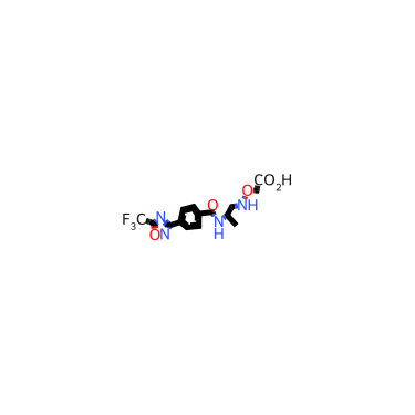 CC(CNOCC(=O)O)NC(=O)c1ccc(-c2noc(C(F)(F)F)n2)cc1